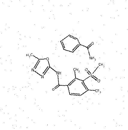 Cc1nnc(NC(=O)c2ccc(C(F)(F)F)c(S(C)(=O)=O)c2C)o1.NC(=O)c1ccccc1